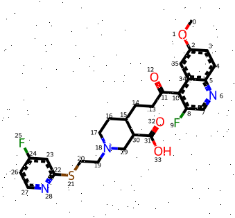 COc1ccc2ncc(F)c(C(=O)CCC3CCN(CCSc4cc(F)ccn4)CC3C(=O)O)c2c1